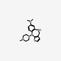 CN1CCN(N2c3ccc(N(C)C)cc3NCc3ccsc32)CC1